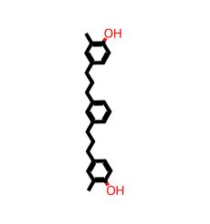 Cc1cc(CCCc2cccc(CCCc3ccc(O)c(C)c3)c2)ccc1O